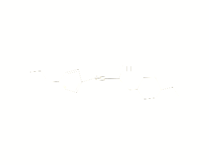 CCOc1ccc(C#CC(O)CC2CCC(CC)CC2)cc1